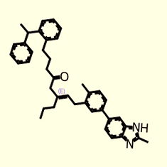 CCC/C(=C\Cc1cc(-c2ccc3nc(C)[nH]c3c2)ccc1C)CC(=O)CCCc1ccccc1C(C)c1ccccc1